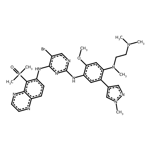 COc1cc(N(C)CCN(C)C)c(-c2cnn(C)c2)cc1Nc1ncc(Br)c(Nc2ccc3nccnc3c2P(C)(C)=O)n1